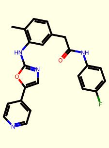 Cc1ccc(CC(=O)Nc2ccc(F)cc2)cc1Nc1ncc(-c2ccncc2)o1